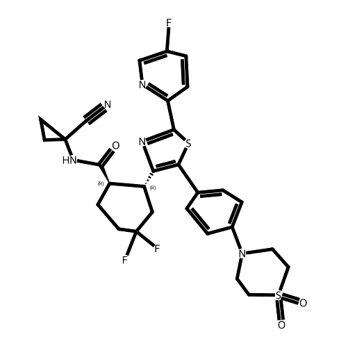 N#CC1(NC(=O)[C@@H]2CCC(F)(F)C[C@H]2c2nc(-c3ccc(F)cn3)sc2-c2ccc(N3CCS(=O)(=O)CC3)cc2)CC1